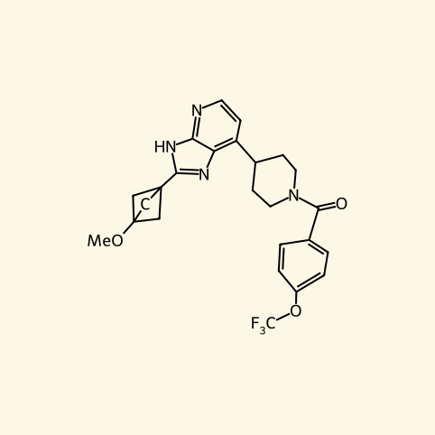 COC12CC(c3nc4c(C5CCN(C(=O)c6ccc(OC(F)(F)F)cc6)CC5)ccnc4[nH]3)(C1)C2